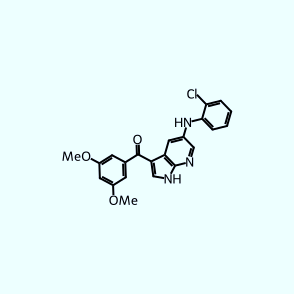 COc1cc(OC)cc(C(=O)c2c[nH]c3ncc(Nc4ccccc4Cl)cc23)c1